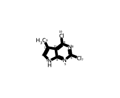 Cc1c[nH]c2nc(Cl)nc(Cl)c12